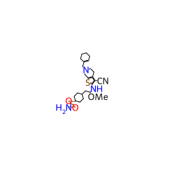 COC(CC1CCC(S(N)(=O)=O)CC1)Nc1sc2c(c1C#N)CCN(CC1=CCCCC1)C2